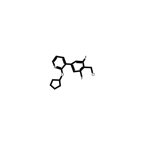 Fc1cc(-c2cccnc2OC2CCCC2)cc(F)c1CCl